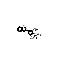 COc1cc(-c2cnc3ccccc3c2)cc(O)c1OC